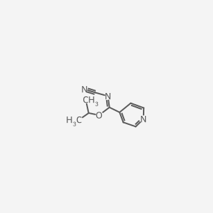 CC(C)OC(=NC#N)c1ccncc1